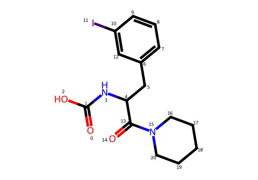 O=C(O)NC(Cc1cccc(I)c1)C(=O)N1CCCCC1